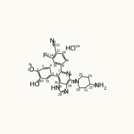 COc1ccc(-c2c(-c3ccc(C#N)c(F)c3)nc(N3CCC(N)CC3)c3nc[nH]c23)cc1O.Cl